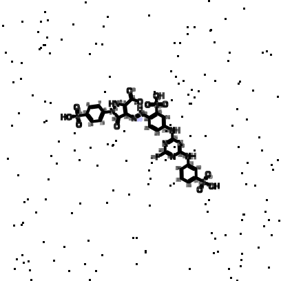 O=C(O)c1[nH]n(-c2ccc(S(=O)(=O)O)cc2)c(=O)c1/N=N/c1ccc(Nc2nc(F)nc(Nc3cccc(S(=O)(=O)O)c3)n2)cc1S(=O)(=O)O